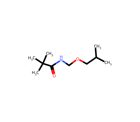 CC(C)COCNC(=O)C(C)(C)C